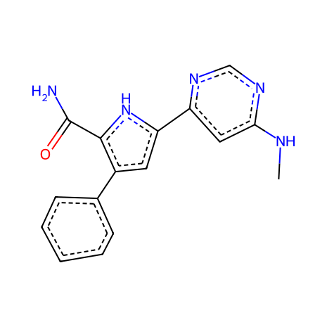 CNc1cc(-c2cc(-c3ccccc3)c(C(N)=O)[nH]2)ncn1